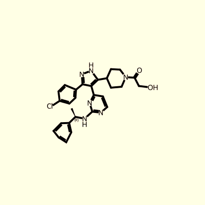 C[C@@H](Nc1nccc(-c2c(-c3ccc(Cl)cc3)n[nH]c2C2CCN(C(=O)CO)CC2)n1)c1ccccc1